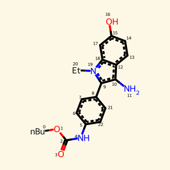 CCCCOC(=O)Nc1ccc(-c2c(N)c3ccc(O)cc3n2CC)cc1